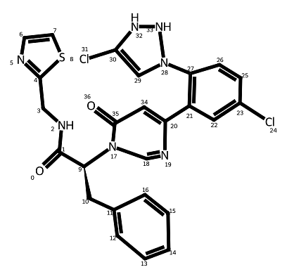 O=C(NCc1nccs1)[C@H](Cc1ccccc1)n1cnc(-c2cc(Cl)ccc2N2C=C(Cl)NN2)cc1=O